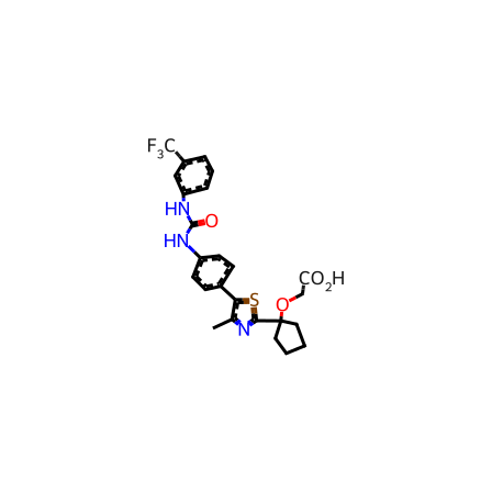 Cc1nc(C2(OCC(=O)O)CCCC2)sc1-c1ccc(NC(=O)Nc2cccc(C(F)(F)F)c2)cc1